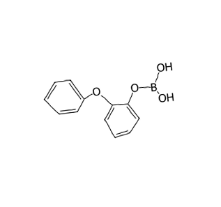 OB(O)Oc1ccccc1Oc1ccccc1